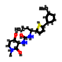 COc1cccc(-c2ccc(C(CC(=O)O)NC(=O)NC3C(=O)C=CN(C)C3=O)s2)c1